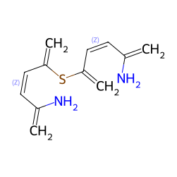 C=C(N)/C=C\C(=C)SC(=C)/C=C\C(=C)N